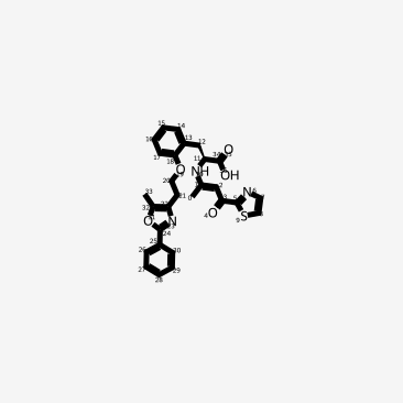 CC(=CC(=O)c1nccs1)N[C@@H](Cc1ccccc1OCCc1nc(-c2ccccc2)oc1C)C(=O)O